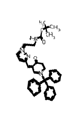 CC(C)(C)OC(=O)NCCn1ccc(/C=C2/CN(C(c3ccccc3)(c3ccccc3)c3ccccc3)CCC2=O)n1